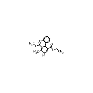 CCOC(=O)C1=CNC(C)=C(C(=O)OC)C1c1ccccc1Cl